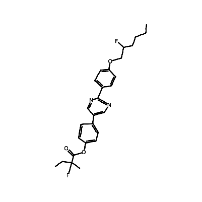 CCCCC(F)COc1ccc(-c2ncc(-c3ccc(OC(=O)C(C)(F)CC)cc3)cn2)cc1